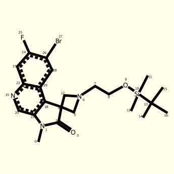 CN1C(=O)C2(CN(CCO[Si](C)(C)C(C)(C)C)C2)c2c1cnc1cc(F)c(Br)cc21